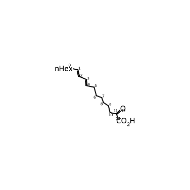 CCCCCCC=CC=CCCCCCCC(=O)C(=O)O